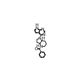 O=C(c1ccccc1)N1CCC[C@@H]2[C@H]1CCN2c1ncnc2[nH]ccc12